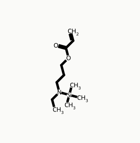 C=CC(=O)OCCCN(CC)[Si](C)(C)C